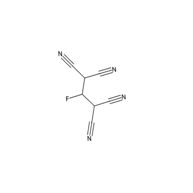 N#CC(C#N)C(F)C(C#N)C#N